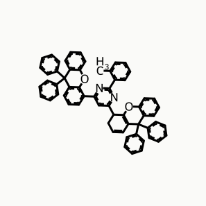 Cc1ccccc1-c1nc(-c2cccc3c2Oc2ccccc2C3(c2ccccc2)c2ccccc2)cc(C2CC=CC3=C2Oc2ccccc2C3(c2ccccc2)c2ccccc2)n1